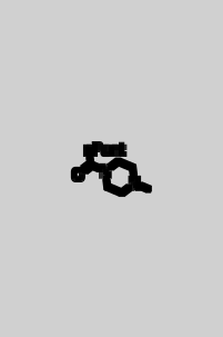 CCCCCC(=O)N1CCN(C)CC1